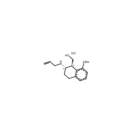 C=CCN[C@H]1CCc2cccc(OC)c2[C@@H]1CO.Cl